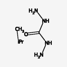 CC(C)C.NNC(=O)NN